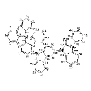 c1ccc([Si](c2ccccc2)(c2ccccc2)c2cccc(-n3c4ccccc4c4cc(-n5c6ccccc6n6c7ccccc7nc56)ccc43)c2)cc1